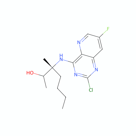 CCCC[C@@](C)(Nc1nc(Cl)nc2cc(F)cnc12)C(C)O